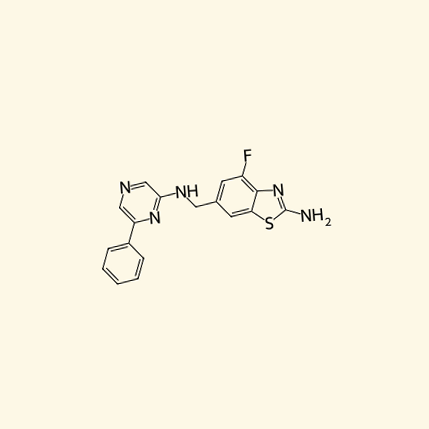 Nc1nc2c(F)cc(CNc3cncc(-c4ccccc4)n3)cc2s1